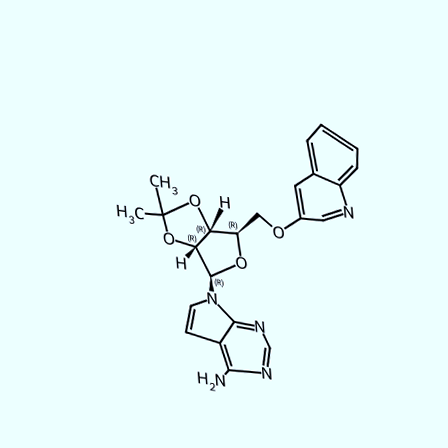 CC1(C)O[C@@H]2[C@H](O1)[C@@H](COc1cnc3ccccc3c1)O[C@H]2n1ccc2c(N)ncnc21